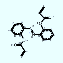 C=CC(=O)Oc1ccccc1/N=N/c1ccccc1OC(=O)C=C